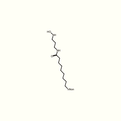 CCCCCCCCCCCCCCCCCC(=O)NCCCNO